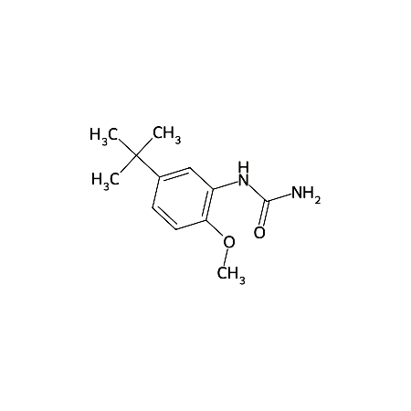 COc1ccc(C(C)(C)C)cc1NC(N)=O